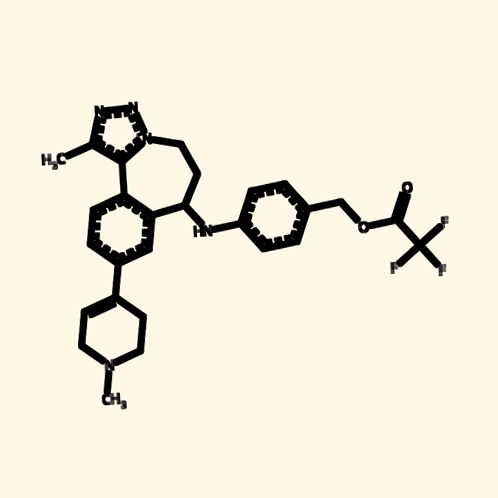 Cc1nnn2c1-c1ccc(C3=CCN(C)CC3)cc1C(Nc1ccc(COC(=O)C(F)(F)F)cc1)CC2